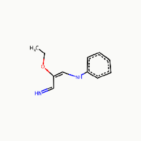 CCO/C(C=N)=C/Nc1ccccc1